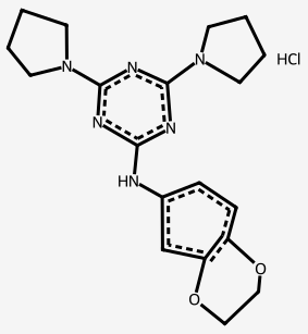 Cl.c1cc2c(cc1Nc1nc(N3CCCC3)nc(N3CCCC3)n1)OCCO2